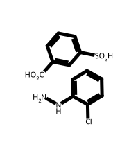 NNc1ccccc1Cl.O=C(O)c1cccc(S(=O)(=O)O)c1